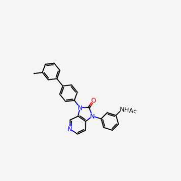 CC(=O)Nc1cccc(-n2c(=O)n(-c3ccc(-c4cccc(C)c4)cc3)c3cnccc32)c1